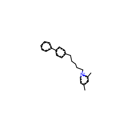 Cc1cc[n+](CCCCCc2ccc(-c3ccccc3)cc2)c(C)c1